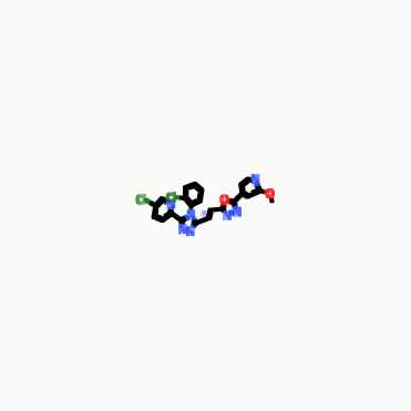 COc1cc(-c2nnc(/C=C/c3nnc(-c4ccc(Cl)cn4)n3-c3ccccc3Cl)o2)ccn1